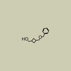 OCC1CC(COCc2ccccc2)C1